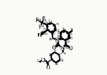 COC(=O)[C@H]1CC[C@H](Cn2c(=O)c3cc(C)ccc3n(Cc3cccc(C(F)(F)F)c3C#N)c2=O)CC1